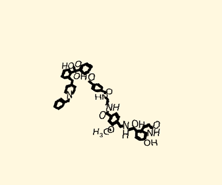 COc1cc(C(=O)NCCNC(=O)c2ccc(COc3cccc([C@@](O)(C(=O)O)c4ccccc4CC4CCN(Cc5ccccc5)CC4)c3)cc2)ccc1CNC[C@H](O)c1ccc(O)c2[nH]c(=O)ccc12